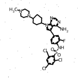 CN1CCN(C2CCC(n3cc(-c4ccc(NS(=O)(=O)c5c(Cl)cc(Cl)cc5Cl)c(F)c4)c4c(N)ncnc43)CC2)CC1